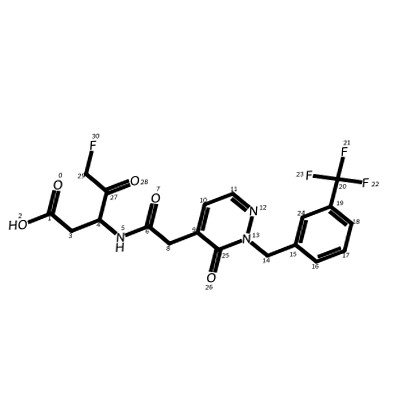 O=C(O)CC(NC(=O)Cc1ccnn(Cc2cccc(C(F)(F)F)c2)c1=O)C(=O)CF